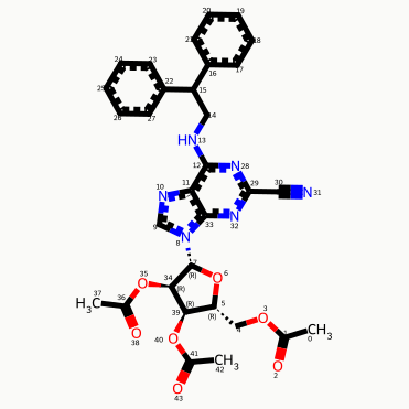 CC(=O)OC[C@H]1O[C@@H](n2cnc3c(NCC(c4ccccc4)c4ccccc4)nc(C#N)nc32)[C@H](OC(C)=O)[C@@H]1OC(C)=O